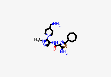 Cn1ncc(NC(=O)c2nc(C3CCCCCC3)sc2N)c1N1CCC(CN)CC1